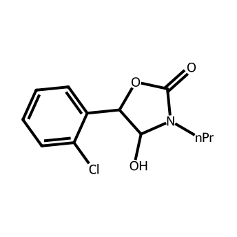 CCCN1C(=O)OC(c2ccccc2Cl)C1O